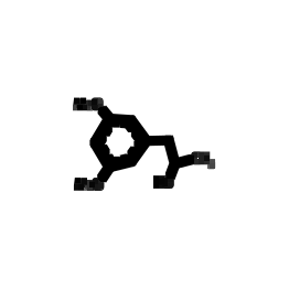 COc1cc(CC(C)O)cc(OC)c1